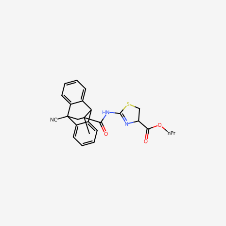 CCCOC(=O)C1CSC(NC(=O)C2(C)CC3(C#N)c4ccccc4C2c2ccccc23)=N1